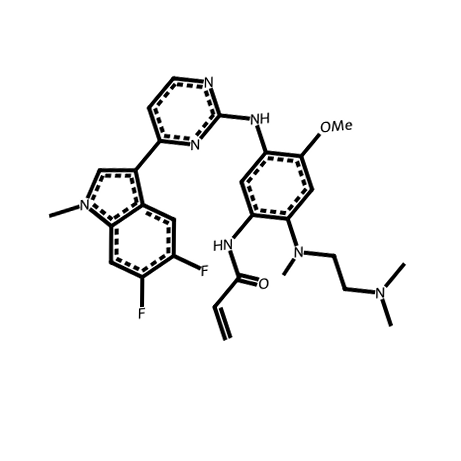 C=CC(=O)Nc1cc(Nc2nccc(-c3cn(C)c4cc(F)c(F)cc34)n2)c(OC)cc1N(C)CCN(C)C